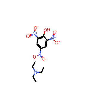 CCN(CC)CC.O=[N+]([O-])c1cc([N+](=O)[O-])c(O)c([N+](=O)[O-])c1